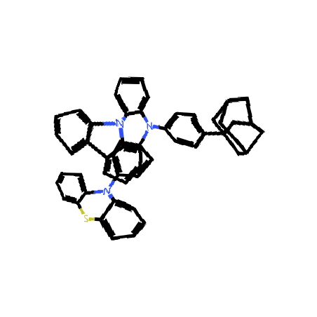 c1ccc2c(c1)Sc1ccccc1N2c1ccc(N(c2ccc(C34CC5CC(CC(C5)C3)C4)cc2)c2ccccc2-n2c3ccccc3c3ccccc32)cc1